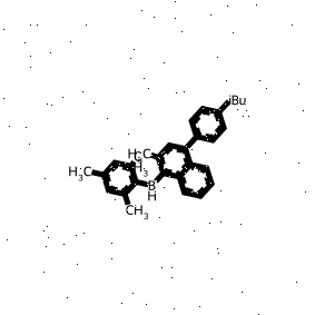 CCC(C)c1ccc(-c2cc(C)c(Bc3c(C)cc(C)cc3C)c3ccccc23)cc1